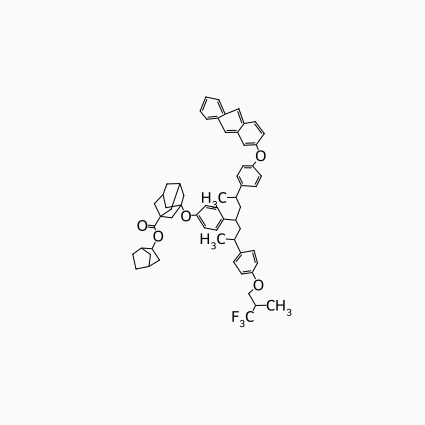 CC(CC(CC(C)c1ccc(Oc2ccc3cc4ccccc4cc3c2)cc1)c1ccc(OC23CC4CC(C2)CC(C(=O)OC2CC5CCC2C5)(C4)C3)cc1)c1ccc(OCC(C)C(F)(F)F)cc1